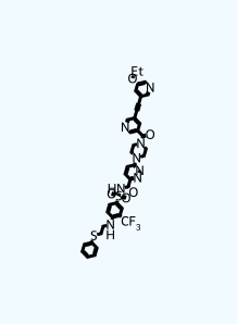 CCOc1cncc(C#Cc2cncc(C(=O)N3CCN(c4ccc(C(=O)NS(=O)(=O)c5ccc(NCCSc6ccccc6)c(C(F)(F)F)c5)nn4)CC3)c2)c1